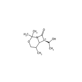 CC1COC(C)(C)N2C(=O)[C@@H](C(C)O)C12